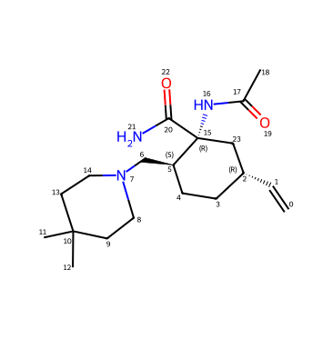 C=C[C@@H]1CC[C@@H](CN2CCC(C)(C)CC2)[C@@](NC(C)=O)(C(N)=O)C1